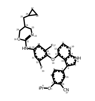 CC(C)Oc1ccc(-c2c[nH]c3nccc(Oc4c(F)cc(NC5=NCC(CC6CC6)CO5)cc4F)c23)cc1C#N